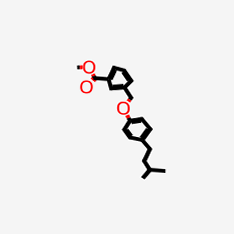 COC(=O)c1cccc(COc2ccc(CCC(C)C)cc2)c1